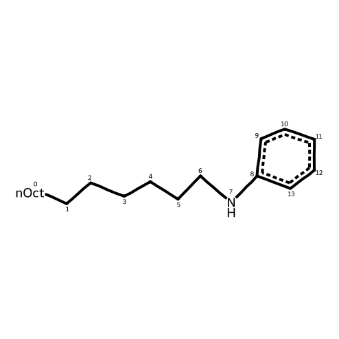 [CH2]CCCCCCCCCCCCCNc1ccccc1